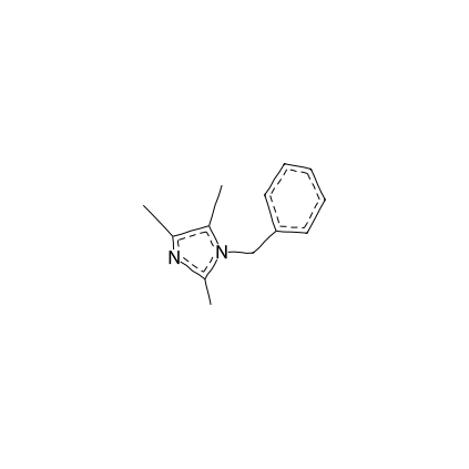 Cc1nc(C)n(Cc2ccccc2)c1C